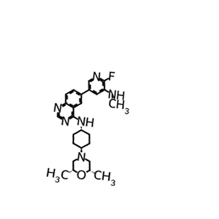 CNc1cc(-c2ccc3ncnc(N[C@H]4CC[C@H](N5C[C@@H](C)O[C@@H](C)C5)CC4)c3c2)cnc1F